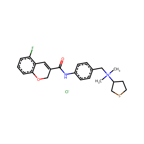 C[N+](C)(Cc1ccc(NC(=O)C2=Cc3c(F)cccc3OC2)cc1)C1CCSC1.[Cl-]